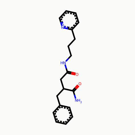 NC(=O)C(CC(=O)NCCCc1ccccn1)Cc1ccccc1